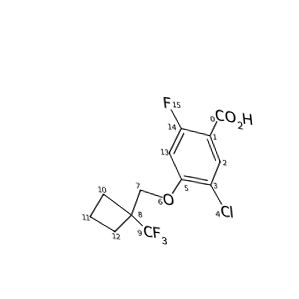 O=C(O)c1cc(Cl)c(OCC2(C(F)(F)F)CCC2)cc1F